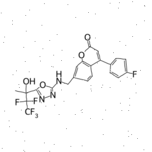 CC(O)(c1nnc(NCc2ccc3c(-c4ccc(F)cc4)cc(=O)oc3c2)o1)C(F)(F)C(F)(F)F